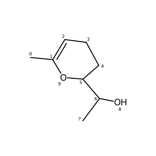 CC1=CCCC(C(C)O)O1